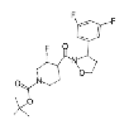 CC(C)(C)OC(=O)N1CCC(C(=O)N2OCCC2c2cc(F)cc(F)c2)[C@@H](F)C1